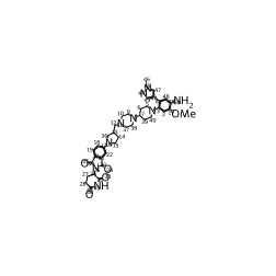 COc1cc(N2CCC(N3CCN(CC4CCN(c5ccc6c(c5)C(=O)N(C5CCC(=O)NC5=O)C6=O)C4)CC3)CC2)c(-c2cnn(C)c2)cc1N